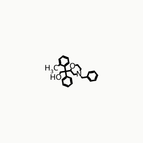 Cc1ccccc1C(CO)(c1ccccc1)C1CN(Cc2ccccc2)CCO1